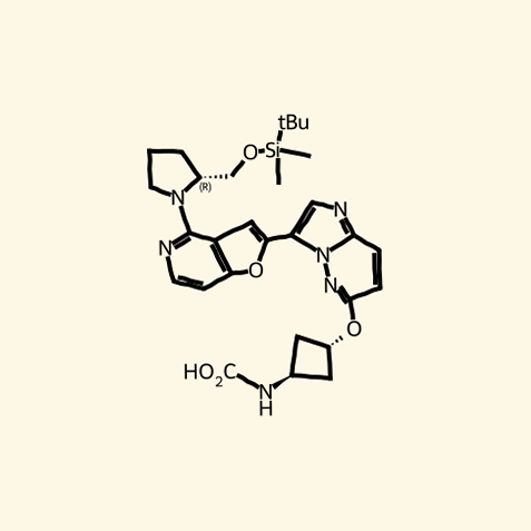 CC(C)(C)[Si](C)(C)OC[C@H]1CCCN1c1nccc2oc(-c3cnc4ccc(O[C@H]5C[C@H](NC(=O)O)C5)nn34)cc12